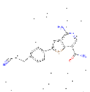 N#CCCc1ccc(-c2cc3c(N)ncc(C(N)=O)c3s2)cc1